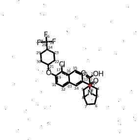 O=C(O)C1CC2CCC(C1)N2C(=O)c1ccc2c(Cl)c(OC3CCC(C(F)(F)F)CC3)ccc2c1